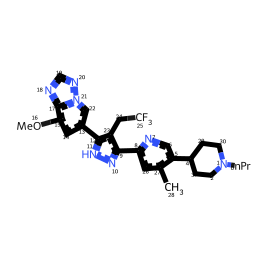 CCCN1CCC(c2cnc(-c3n[nH]c(-c4cc(OC)c5ncnn5c4)c3CC(F)(F)F)cc2C)CC1